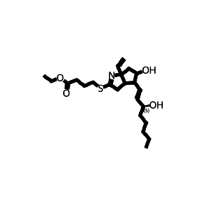 C=CC12CC(O)C(C=C[C@@H](O)CCCCC)C1CC(SCCCC(=O)OCC)=N2